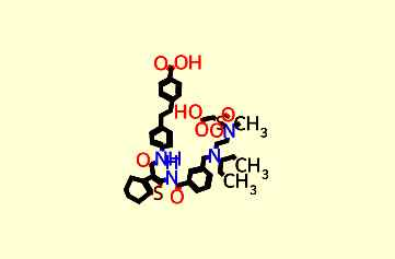 CCC(CC)N(CCN(C)S(=O)(=O)CC(=O)O)Cc1cccc(C(=O)Nc2sc3c(c2C(=O)Nc2ccc(CCc4ccc(C(=O)O)cc4)cc2)CCCC3)c1